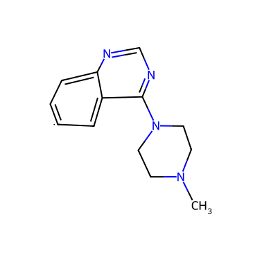 CN1CCN(c2ncnc3cc[c]cc23)CC1